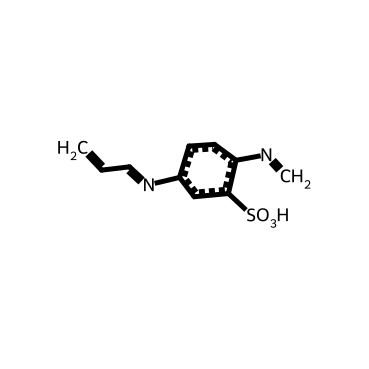 C=CC=Nc1ccc(N=C)c(S(=O)(=O)O)c1